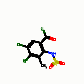 Cc1c(Cl)c(Cl)cc(C(=O)Cl)c1N[SH](=O)=O